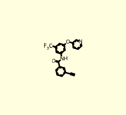 C#Cc1cccc(C(=O)Nc2cc(Oc3cccnc3)cc(C(F)(F)F)c2)c1